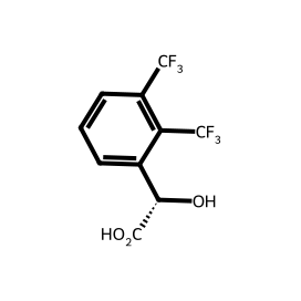 O=C(O)[C@@H](O)c1cccc(C(F)(F)F)c1C(F)(F)F